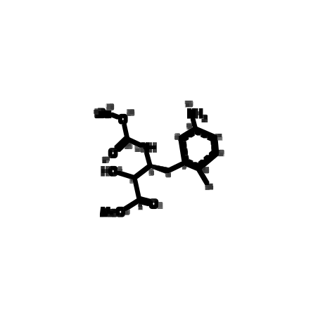 COC(=O)C(O)[C@H](Cc1cc(N)ccc1C)NC(=O)OC(C)(C)C